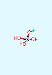 O[Si](O)(O)OF